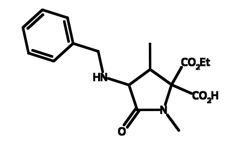 CCOC(=O)C1(C(=O)O)C(C)C(NCc2ccccc2)C(=O)N1C